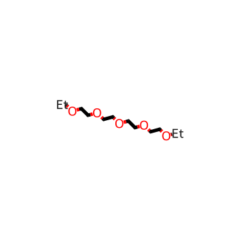 [CH2]COCCOCCOCCOCCOC[CH2]